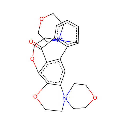 O=C1c2cccc3c2-c2cc4c(c(c21)OCC[N+]31CCOCC1)OCC[N+]41CCOCC1